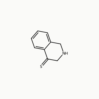 S=C1CNCc2ccccc21